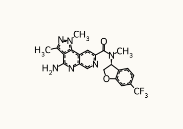 Cc1nn(C)c2c1c(N)nc1cnc(C(=O)N(C)[C@@H]3COc4cc(C(F)(F)F)ccc43)cc12